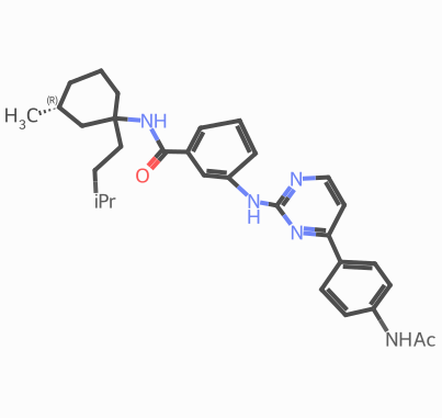 CC(=O)Nc1ccc(-c2ccnc(Nc3cccc(C(=O)NC4(CCC(C)C)CCC[C@@H](C)C4)c3)n2)cc1